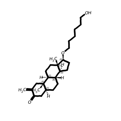 C=C1C[C@@]2(C)[C@@H](CC[C@@H]3[C@@H]2CC[C@]2(C)[C@@H](OCCCCCCO)CC[C@@H]32)CC1=O